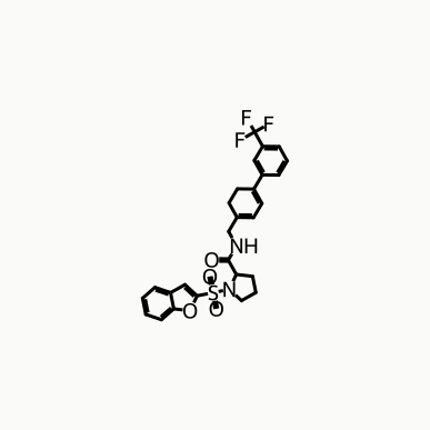 O=C(NCC1=CC=C(c2cccc(C(F)(F)F)c2)CC1)C1CCCN1S(=O)(=O)c1cc2ccccc2o1